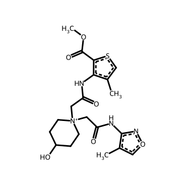 COC(=O)c1scc(C)c1NC(=O)C[N+]1(CC(=O)Nc2nocc2C)CCC(O)CC1